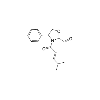 CC(C)C=CC(=O)N1C(C=O)OCC1c1ccccc1